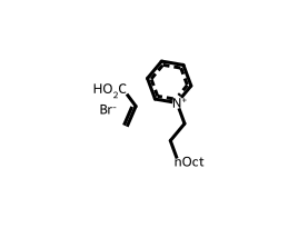 C=CC(=O)O.CCCCCCCCCC[n+]1ccccc1.[Br-]